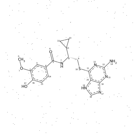 COc1cc(C(=O)N[C@@H](CSc2nc(N)nc3nc[nH]c23)C2CC2)ccc1O